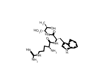 C[C@@H](O)[C@H](NC(=O)[C@H](Cc1c[nH]c2ccccc12)NC(=O)[C@@H](N)CCCNC(=N)N)C(=O)O